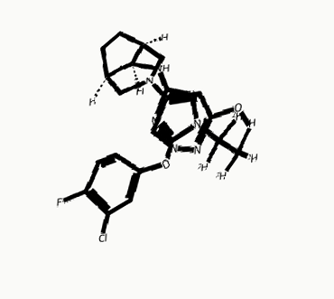 [2H]C([2H])([2H])C([2H])([2H])n1nc(N[C@H]2[C@@H]3CC[C@H]2CN(c2cnnc(OC)c2)C3)nc1Oc1ccc(F)c(Cl)c1